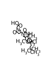 CC(C)C1=CN([C@@H]2CC(=O)N(CC(=O)O)C2)C(=O)N[C@@]1(C)c1ccc(CCC(C)(C)C)c(Cl)c1